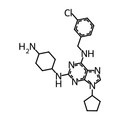 NC1CCC(Nc2nc(NCc3cccc(Cl)c3)c3ncn(C4CCCC4)c3n2)CC1